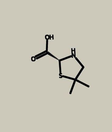 CC1(C)CN[C@@H](C(=O)O)S1